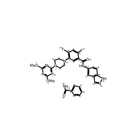 COc1nc(OC)nc(N2CCN(c3cc(C(=O)Nc4ccc5[nH]ncc5c4)c(F)cc3F)CC2)n1.NC(=O)c1ccccc1